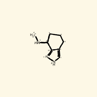 CNC1CCCc2c[nH]nc21